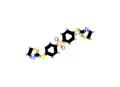 O=S(=O)(c1ccc(Sc2nccs2)cc1)c1ccc(Sc2nccs2)cc1